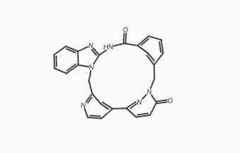 O=C1Nc2nc3ccccc3n2Cc2cc(ccn2)-c2ccc(=O)n(n2)Cc2cccc1c2